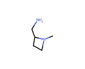 CN1CCC1CN